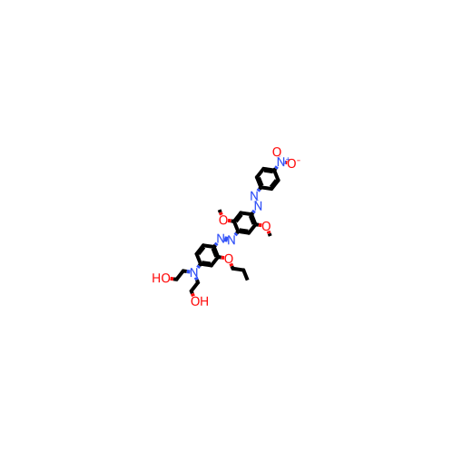 CCCOc1cc(N(CCO)CCO)ccc1N=Nc1cc(OC)c(N=Nc2ccc([N+](=O)[O-])cc2)cc1OC